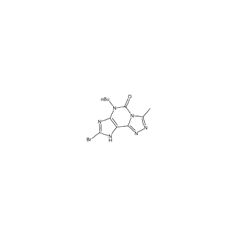 CCCCn1c(=O)n2c(C)nnc2c2[nH]c(Br)nc21